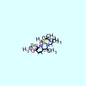 CCN(C(C)c1ccc(OC)c(Br)n1)[S@+]([O-])C(C)(C)C